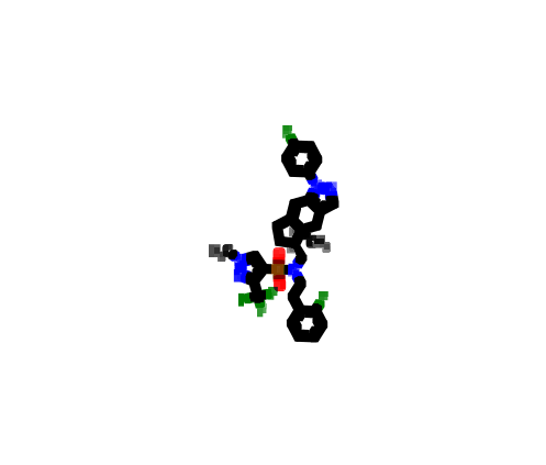 Cn1cc(S(=O)(=O)N(CCc2ccccc2F)C[C@H]2CCC3=Cc4c(cnn4-c4ccc(F)cc4)C[C@@]32C)c(C(F)(F)F)n1